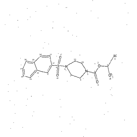 CC(=O)C(OC(=O)N1CCN(S(=O)(=O)c2ccc3ccccc3c2)CC1)C(F)(F)F